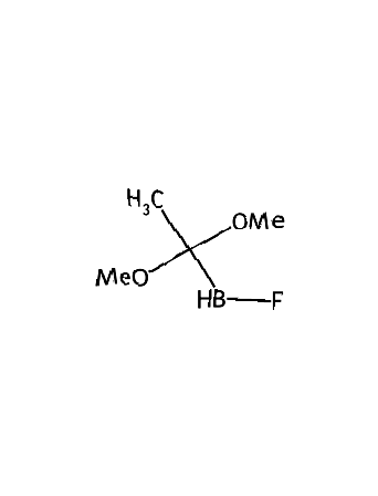 COC(C)(BF)OC